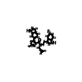 Cc1nc(C(=O)N(CCc2c[nH]c3ccc(F)cc23)CC2CC2)c(-c2ccc3cc[nH]c3c2)s1